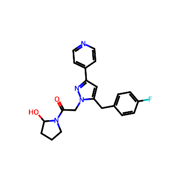 O=C(Cn1nc(-c2ccncc2)cc1Cc1ccc(F)cc1)N1CCCC1O